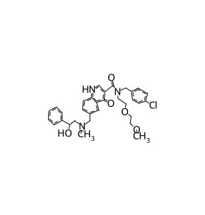 COCCOCCN(Cc1ccc(Cl)cc1)C(=O)c1c[nH]c2ccc(CN(C)CC(O)c3ccccc3)cc2c1=O